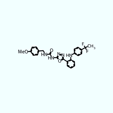 COc1ccc(CNC(=O)Nc2nnc(-c3ccccc3Nc3ccc(C(C)(F)F)cc3)o2)cc1